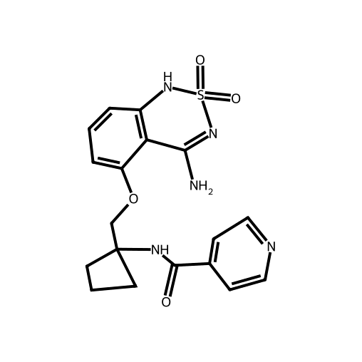 NC1=NS(=O)(=O)Nc2cccc(OCC3(NC(=O)c4ccncc4)CCC3)c21